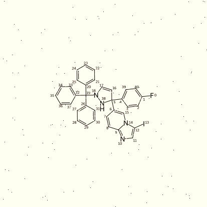 Fc1ccc(C2(c3ccc4ncc(I)n4c3)C=CN(C(c3ccccc3)(c3ccccc3)c3ccccc3)N2)cc1